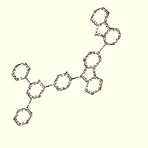 c1ccc(-c2nc(-c3ccccc3)nc(-c3ccc(-n4c5ccccc5c5cc(-c6cccc7c6sc6ccccc67)ccc54)nc3)n2)cc1